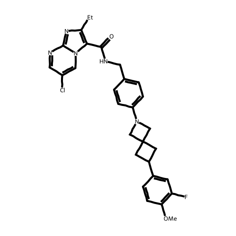 CCc1nc2ncc(Cl)cn2c1C(=O)NCc1ccc(N2CC3(CC(c4ccc(OC)c(F)c4)C3)C2)cc1